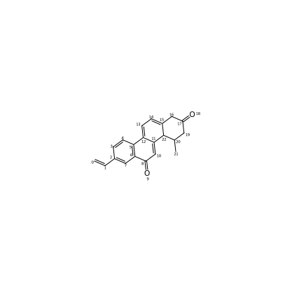 C=Cc1ccc2c(c1)C(=O)C=C1C2=CC=C2CC(=O)CC(C)C21